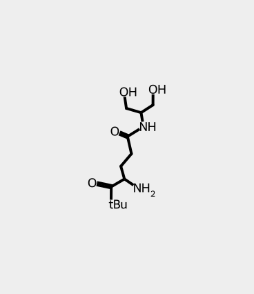 CC(C)(C)C(=O)C(N)CCC(=O)NC(CO)CO